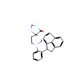 Cl.O=C1NCNC12CCN(c1ccccc1C1Cc3cccc4cccc1c34)CC2